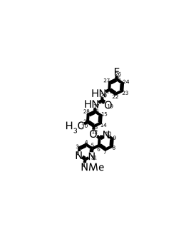 CNc1nccc(-c2cccnc2Oc2ccc(NC(=O)Nc3cccc(F)c3)cc2C)n1